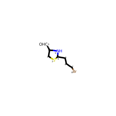 O=CC1CSC(CCCBr)N1